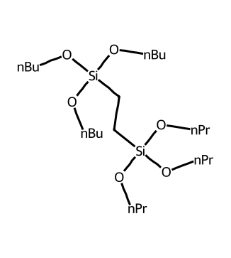 CCCCO[Si](CC[Si](OCCC)(OCCC)OCCC)(OCCCC)OCCCC